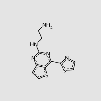 NCCNc1nc(-c2nccs2)c2sccc2n1